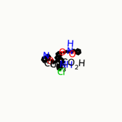 C[C@@H](COc1ccnc2c1[C@H](C)CCC2)CC1Cc2ccc(OCCCNC(=O)Cc3ccccc3)cc2C12CCC(Nc1cccc(Cl)c1)(C(=O)O)CC2